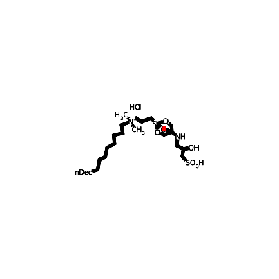 CCCCCCCCCCCCCCCCCC[N+](C)(C)CCC[Si]12OCC(NCC(O)CS(=O)(=O)O)(CO1)CO2.Cl